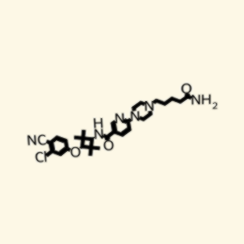 CC1(C)[C@H](NC(=O)c2ccc(N3CCN(CCCCC(N)=O)CC3)nc2)C(C)(C)[C@H]1Oc1ccc(C#N)c(Cl)c1